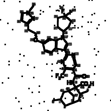 CC1CC2CC(C)C(NC(=O)c3cnc(-c4cn(C5CCC(F)(F)CC5)c5cc(OCCc6ccn(C)n6)ccc45)nc3C(F)(F)F)(C(=O)O)C(C1)C2